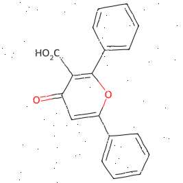 O=C(O)c1c(-c2ccccc2)oc(-c2ccccc2)cc1=O